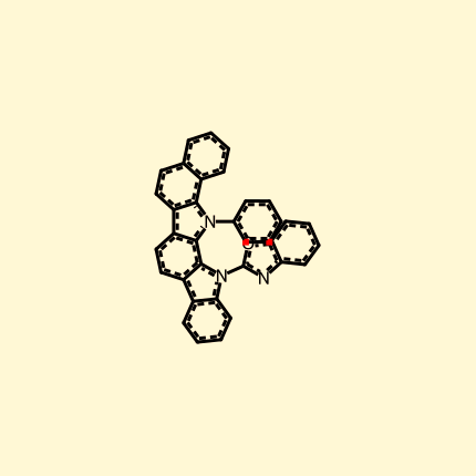 c1ccc(-n2c3c4ccccc4ccc3c3ccc4c5ccccc5n(-c5nc6ccccc6o5)c4c32)cc1